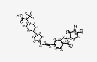 CC(C)(C)C(C(=O)O)N1CCC(N2CCN(CC#Cc3ccc4c(c3)CN(C3CCC(=O)NC3=O)C4=O)CC2)CC1